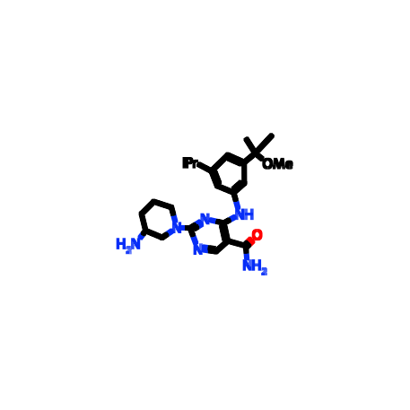 COC(C)(C)c1cc(Nc2nc(N3CCCC(N)C3)ncc2C(N)=O)cc(C(C)C)c1